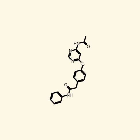 CC(=O)Nc1cc(Oc2ccc(CC(=O)Nc3ccccc3)cc2)ncn1